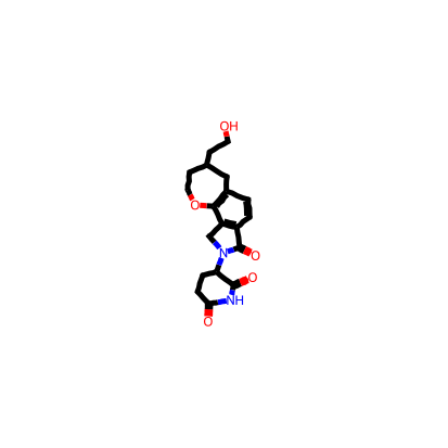 O=C1CCC(N2Cc3c(ccc4c3OCCC(CCO)C4)C2=O)C(=O)N1